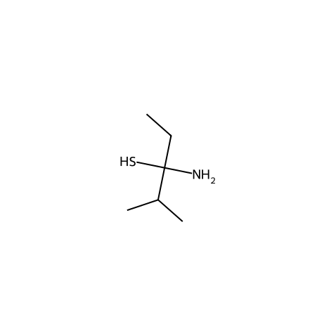 CCC(N)(S)C(C)C